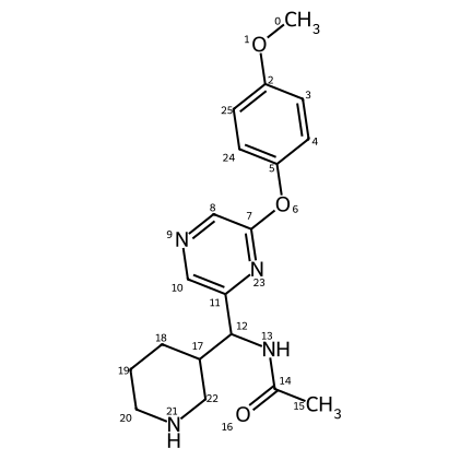 COc1ccc(Oc2cncc(C(NC(C)=O)C3CCCNC3)n2)cc1